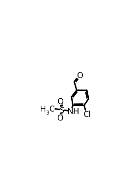 CS(=O)(=O)Nc1cc(C=O)ccc1Cl